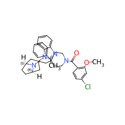 COc1cc(Cl)ccc1C(=O)N1CCC(CCN2[C@@H]3CC[C@H]2CC(n2c(C)nc4ccccc42)C3)(c2ccccc2)CC1